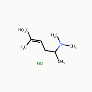 CC(=CCC(C)N(C)C)C(=O)O.Cl